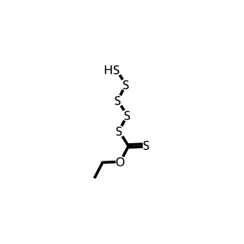 CCOC(=S)SSSSS